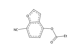 CCC(=O)Oc1ccc(C#N)c2occc12